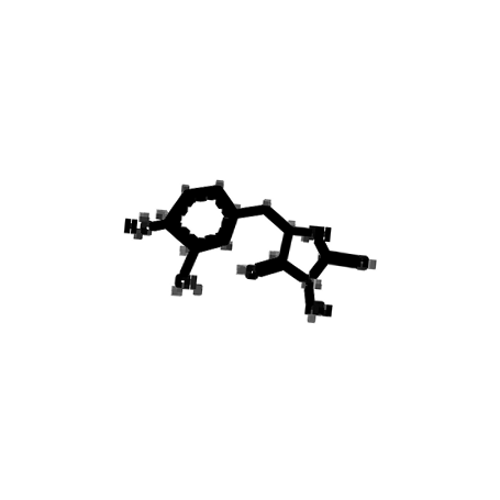 CCCCN1C(=O)NC(Cc2ccc(C)c(C)c2)C1=O